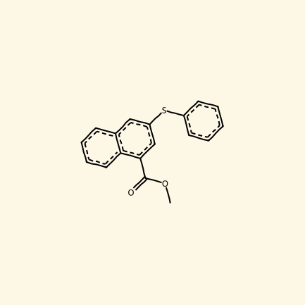 COC(=O)c1cc(Sc2ccccc2)cc2ccccc12